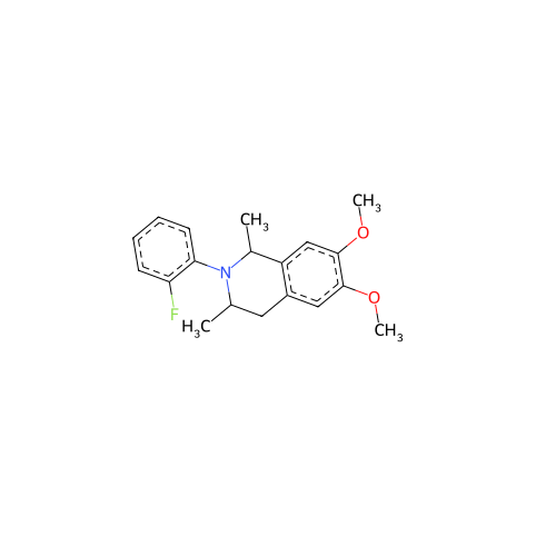 COc1cc2c(cc1OC)C(C)N(c1ccccc1F)C(C)C2